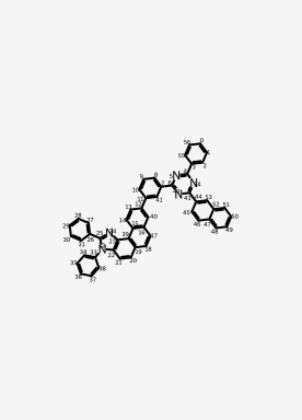 c1ccc(-c2nc(-c3cccc(-c4ccc5c(ccc6ccc7c(nc(-c8ccccc8)n7-c7ccccc7)c65)c4)c3)nc(-c3ccc4ccccc4c3)n2)cc1